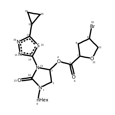 CCCCCCN1CC(OC(=O)C2CC(Br)CO2)N(c2nnc(C3CC3)s2)C1=O